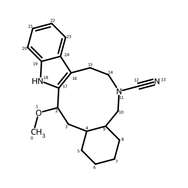 COC1CC2CCCCC2CN(C#N)CCc2c1[nH]c1ccccc21